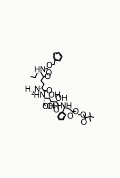 CCC[C@H](NC(=O)OCc1ccccc1)C(=O)CC[C@H](N)C(=O)N[C@@H](CO)[C@@H](O)[C@@H](O)[C@H](O)C(=O)N[C@@H](CC(=O)OCOC(=O)C(C)(C)C)c1ccccc1